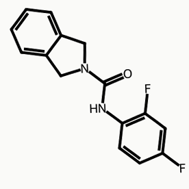 O=C(Nc1ccc(F)cc1F)N1Cc2ccccc2C1